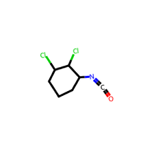 O=C=NC1CCCC(Cl)C1Cl